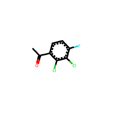 CC(=O)c1ccc(F)c(Cl)c1Cl